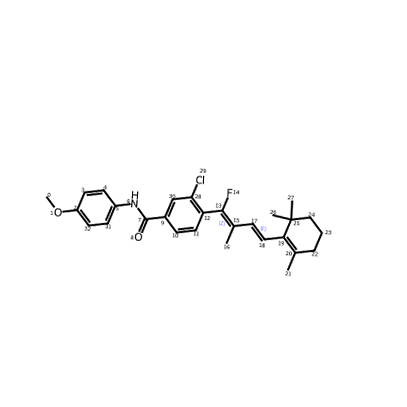 COc1ccc(NC(=O)c2ccc(/C(F)=C(C)/C=C/C3=C(C)CCCC3(C)C)c(Cl)c2)cc1